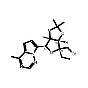 CC[C@@]1(CO)O[C@@H](c2ccc3c(C)ncnn23)[C@@H]2OC(C)(C)O[C@@H]21